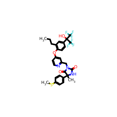 CCCc1cc(C(O)(C(F)(F)F)C(F)(F)F)ccc1Oc1ccnc(CN2C(=O)NC(C)(c3ccc(SC)cc3)C2=O)c1